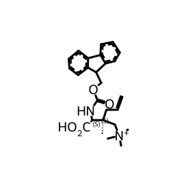 C=CC[C@@](C)(C[N+](C)(C)C)[C@H](NC(=O)OCC1c2ccccc2-c2ccccc21)C(=O)O